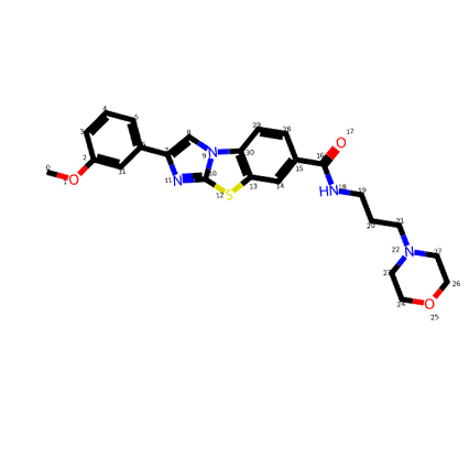 COc1cccc(-c2cn3c(n2)sc2cc(C(=O)NCCCN4CCOCC4)ccc23)c1